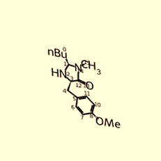 CCCC[C@@H]1N[C@H](Cc2ccc(OC)cc2)C(=O)N1C